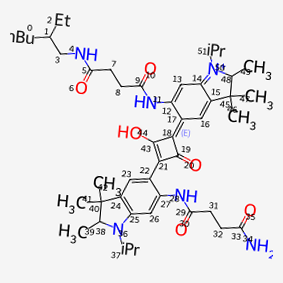 CCCCC(CC)CNC(=O)CCC(=O)Nc1cc2c(c/c1=C1\C(=O)C(c3cc4c(cc3NC(=O)CCC(N)=O)N(C(C)C)C(C)C4(C)C)=C1O)C(C)(C)C(C)[N+]=2C(C)C